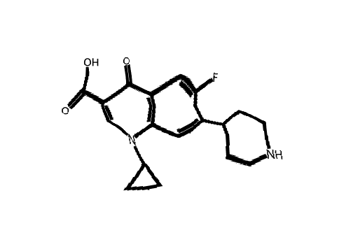 O=C(O)c1cn(C2CC2)c2cc(C3CCNCC3)c(F)cc2c1=O